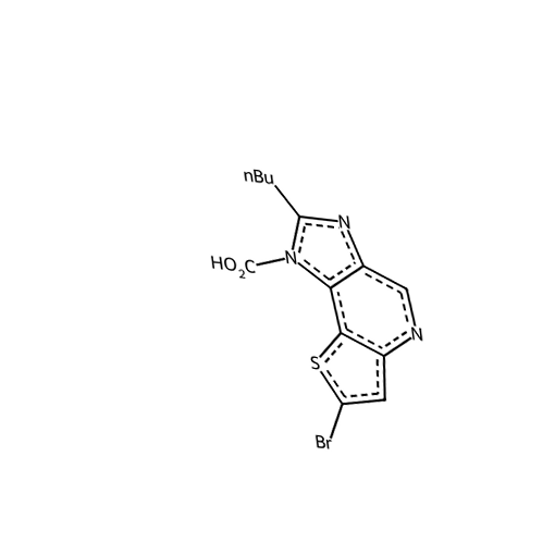 CCCCc1nc2cnc3cc(Br)sc3c2n1C(=O)O